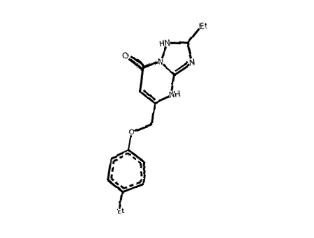 CCc1ccc(OCC2=CC(=O)N3NC(CC)N=C3N2)cc1